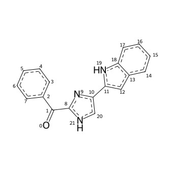 O=C(c1ccccc1)c1nc(-c2cc3ccccc3[nH]2)c[nH]1